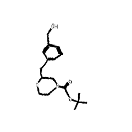 CC(C)(C)OC(=O)N1CCOC(Cc2cccc(CO)c2)C1